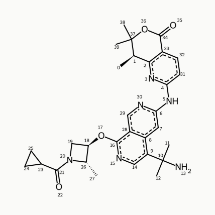 C[C@@H]1c2nc(Nc3cc4c(C(C)(C)N)cnc(O[C@@H]5CN(C(=O)C6CC6)[C@H]5C)c4cn3)ccc2C(=O)OC1(C)C